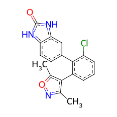 Cc1noc(C)c1-c1cccc(Cl)c1-c1ccc2[nH]c(=O)[nH]c2c1